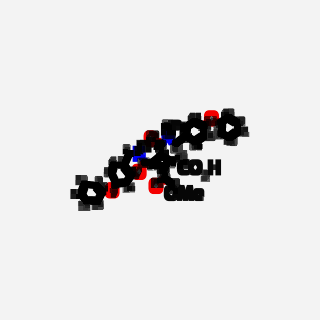 CCCN(Cc1ccc(Oc2ccccc2)cc1)C(=O)[C@@H]1[C@H](C(=O)COC)[C@@H](CC(=O)O)[C@H]1C(=O)N(CCC)Cc1ccc(Oc2ccccc2)cc1